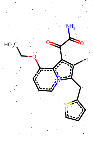 CCc1c(C(=O)C(N)=O)c2c(OCC(=O)O)cccn2c1Cc1cccs1